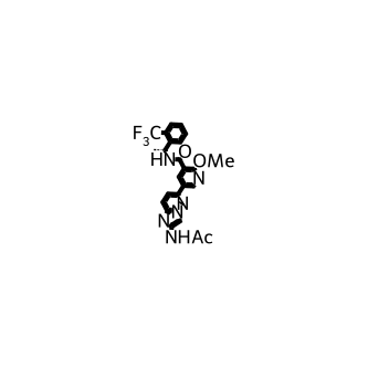 COc1ncc(-c2ccc3nc(NC(C)=O)cn3n2)cc1C(=O)N[C@H](C)c1ccccc1C(F)(F)F